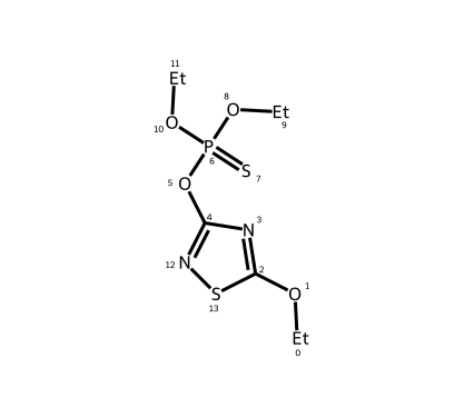 CCOc1nc(OP(=S)(OCC)OCC)ns1